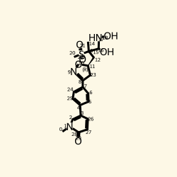 Cn1cc(-c2ccc(C3=NO[C@@H](CC(C)(C(O)NO)S(C)(=O)=O)C3)cc2)ccc1=O